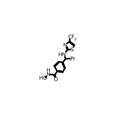 CC(C)C(Nc1nc(C(F)(F)F)cs1)c1ccc(C(=O)NO)cc1